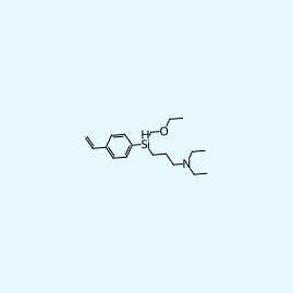 C=Cc1ccc([SiH](CCCN(CC)CC)COCC)cc1